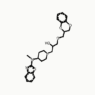 CN(c1nc2ccccc2s1)C1CCN(CC(O)COCC2COc3ccccc3O2)CC1